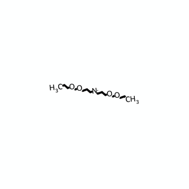 CCCOCOCCC[N]CCCOCOCCC